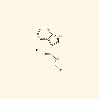 [CH2]C(C)CNC(=O)c1c[nH]c2ccccc12.[H+]